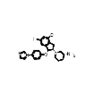 N[C@@H]1CCCN([C@H]2Cc3c(Cl)cc(Cl)cc3[C@H]2Oc2ccc(-n3ccnc3)cc2)C1